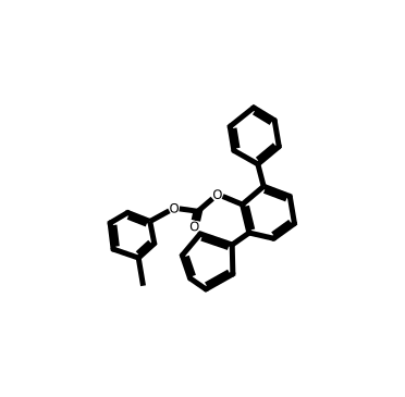 Cc1cccc(OC(=O)Oc2c(-c3ccccc3)cccc2-c2ccccc2)c1